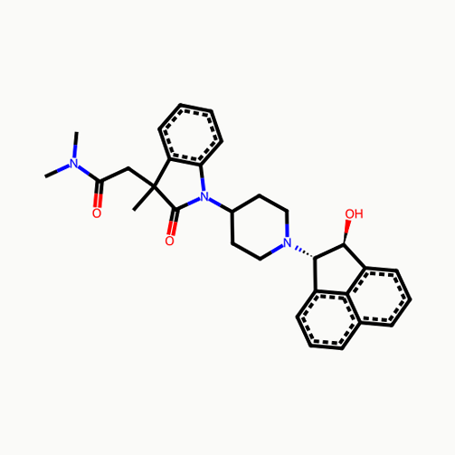 CN(C)C(=O)CC1(C)C(=O)N(C2CCN([C@H]3c4cccc5cccc(c45)[C@@H]3O)CC2)c2ccccc21